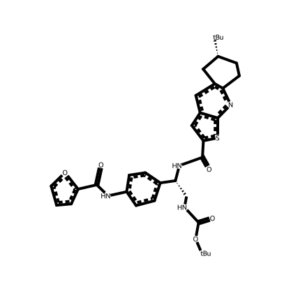 CC(C)(C)OC(=O)NC[C@@H](NC(=O)c1cc2cc3c(nc2s1)CC[C@@H](C(C)(C)C)C3)c1ccc(NC(=O)c2ccco2)cc1